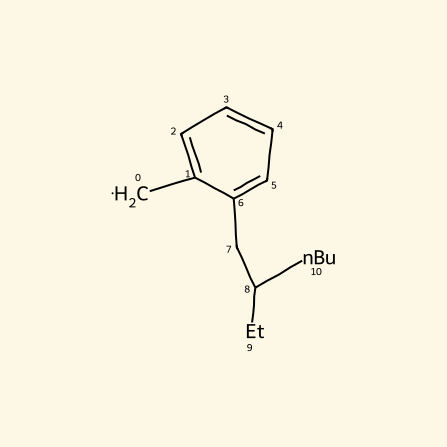 [CH2]c1ccccc1CC(CC)CCCC